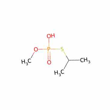 COP(=O)(O)SC(C)C